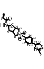 C=CC(=O)NC1CC2CN(S(=O)(=O)c3ccc(-c4csc(C)n4)cc3)CC2S1